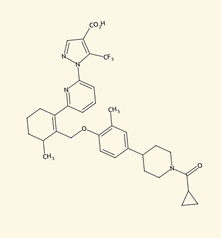 Cc1cc(C2CCN(C(=O)C3CC3)CC2)ccc1OCC1=C(c2cccc(-n3ncc(C(=O)O)c3C(F)(F)F)n2)CCCC1C